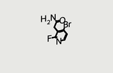 NC(=O)Cc1c(Br)ccnc1F